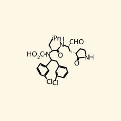 CC(C)C[C@@H](C(=O)N[C@H](C=O)C[C@@H]1CCNC1=O)N(C(=O)O)C(Cc1cccc(Cl)c1)c1cccc(Cl)c1